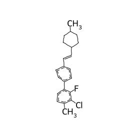 Cc1ccc(-c2ccc(C=CC3CCC(C)CC3)cc2)c(F)c1Cl